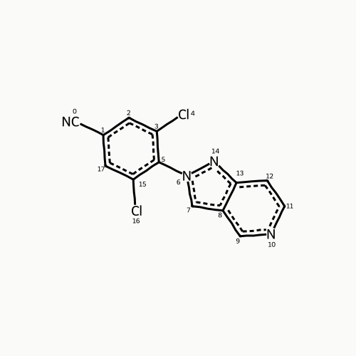 N#Cc1cc(Cl)c(-n2cc3cnccc3n2)c(Cl)c1